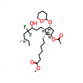 CC[C@H](C)CC(F)(F)C(O)CC[C@@H]1[C@@H](CCCCCCC(=O)OC)[C@H](OC(C)=O)C[C@H]1OC1CCCCO1